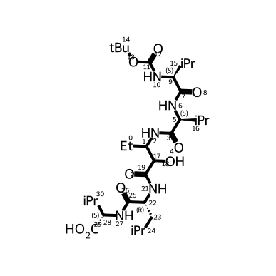 CCC(NC(=O)[C@@H](NC(=O)[C@@H](NC(=O)OC(C)(C)C)C(C)C)C(C)C)C(O)C(=O)N[C@H](CC(C)C)C(=O)N[C@H](C(=O)O)C(C)C